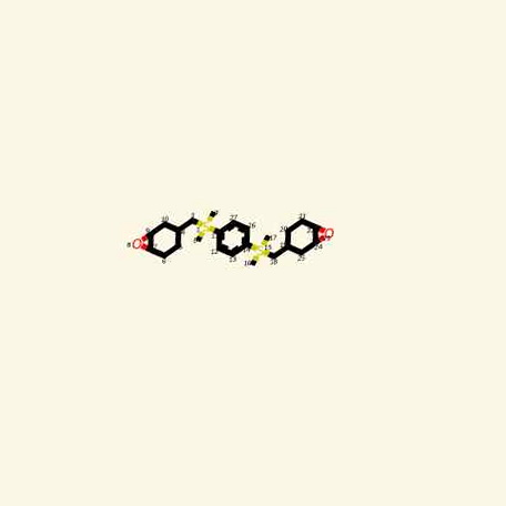 CS(C)(CC1CCC2OC2C1)c1ccc(S(C)(C)CC2CCC3OC3C2)cc1